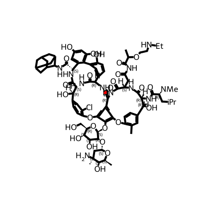 CCNCCOC(C)C(=O)NC(=O)C[C@@H]1NC(=O)[C@H](NC(=O)[C@@H](CC(C)C)NC)[C@H](O)c2ccc(c(C)c2)Oc2cc3cc(c2O[C@@H]2O[C@H](CO)[C@@H](O)[C@H](O)[C@H]2O[C@H]2C[C@](C)(N)[C@H](O)[C@H](C)O2)Oc2ccc(cc2Cl)[C@@H](O)[C@@H]2NC(=O)[C@H](NC(=O)[C@@H]3NC1=O)c1ccc(O)c(c1)-c1c(O)cc(O)cc1[C@@H](C(=O)NC1C3CC4CC(C3)CC1C4)NC2=O